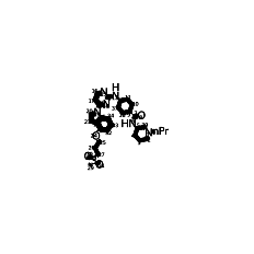 CCCN1CCC[C@@H](NC(=O)[C@H]2CC[C@H](Nc3nccc(-n4ccc5c(OCCCS(C)(=O)=O)cccc54)n3)CC2)C1